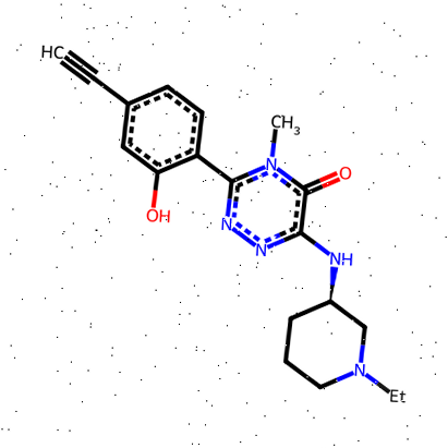 C#Cc1ccc(-c2nnc(N[C@@H]3CCCN(CC)C3)c(=O)n2C)c(O)c1